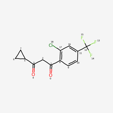 O=C(CC(=O)C1CC1)c1ccc(C(F)(F)F)cc1Cl